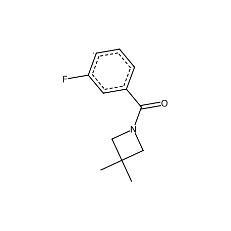 CC1(C)CN(C(=O)c2cc[c]c(F)c2)C1